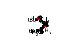 CC(C)(C)c1ccc(N2c3ccc(-c4ccc5c(c4)-c4cc(-c6ccc7c(c6)C6(C)CCCCC6(C)N7c6ccc(C(C)(C)C)cc6)ccc4C5(c4ccccc4)c4ccccc4)cc3C3(C)CCCCC23C)cc1